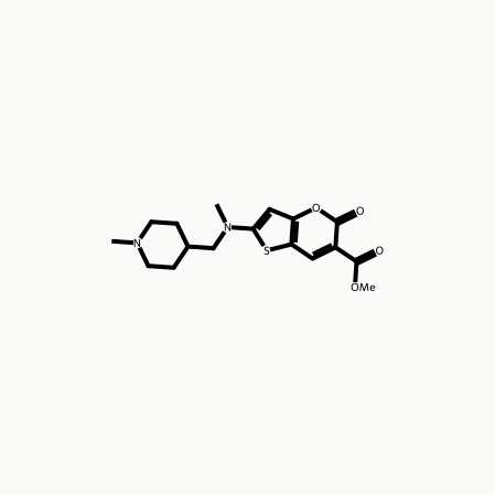 COC(=O)c1cc2sc(N(C)CC3CCN(C)CC3)cc2oc1=O